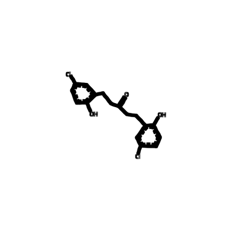 O=C(CCc1cc(Cl)ccc1O)CCc1cc(Cl)ccc1O